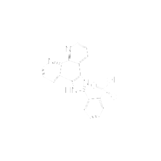 O=S(=O)(O)c1ccccc1-c1nc2c3cccnc3c3ncccc3c2[nH]1